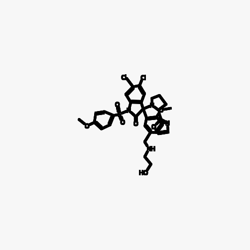 COc1ccc(S(=O)(=O)N2C(=O)C(c3cc(CNCCO)ccc3OC)(N3CCC[C@H]3c3ncco3)c3cc(Cl)c(Cl)cc32)cc1